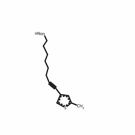 CCCCCCCCCCCCCCCC#Cc1csc(C)c1